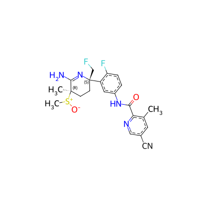 Cc1cc(C#N)cnc1C(=O)Nc1ccc(F)c([C@]2(CF)CC[C@@](C)([S+](C)[O-])C(N)=N2)c1